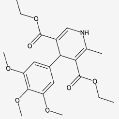 CCOC(=O)C1=CNC(C)=C(C(=O)OCC)C1c1cc(OC)c(OC)c(OC)c1